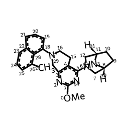 COc1nc2c(c(N3C[C@H]4CC[C@@H](C3)N4)n1)CCN(c1cccc3cccc(C)c13)C2